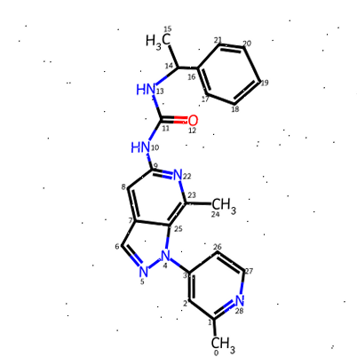 Cc1cc(-n2ncc3cc(NC(=O)NC(C)c4ccccc4)nc(C)c32)ccn1